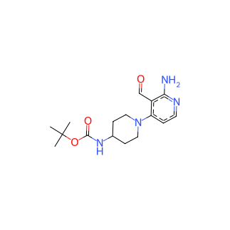 CC(C)(C)OC(=O)NC1CCN(c2ccnc(N)c2C=O)CC1